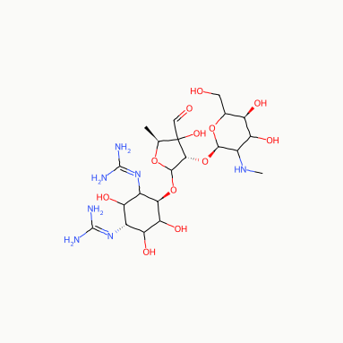 CNC1C(O)[C@H](O)C(CO)O[C@@H]1O[C@@H]1C(O[C@H]2C(O)C(O)[C@H](N=C(N)N)C(O)C2N=C(N)N)O[C@@H](C)C1(O)C=O